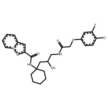 O=C(COc1ccc(Cl)c(F)c1)NCC(O)CC1(NC(=O)c2cc3ccccn3n2)CCCCC1